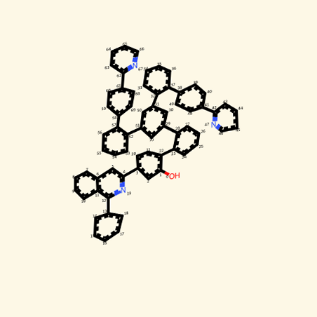 Oc1cc(-c2cc3ccccc3c(-c3ccccc3)n2)ccc1-c1ccccc1-c1cc(-c2ccccc2-c2ccc(-c3ccccn3)cc2)cc(-c2ccccc2-c2ccc(-c3ccccn3)cc2)c1